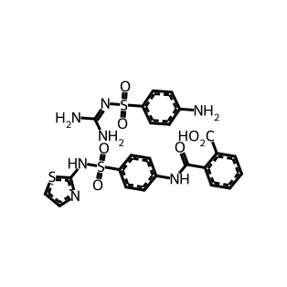 NC(N)=NS(=O)(=O)c1ccc(N)cc1.O=C(O)c1ccccc1C(=O)Nc1ccc(S(=O)(=O)Nc2nccs2)cc1